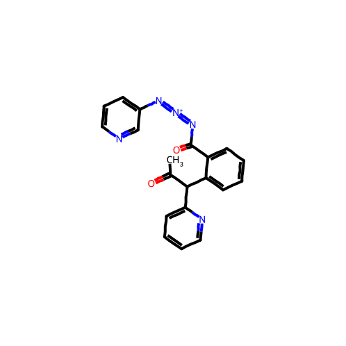 CC(=O)C(c1ccccn1)c1ccccc1C(=O)N=[N+]=Nc1cccnc1